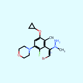 CN(N)/C(=C/Br)c1c(F)c(N2CCOCC2)cc(OC2CC2)c1C#N